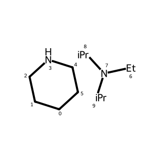 C1CCNCC1.CCN(C(C)C)C(C)C